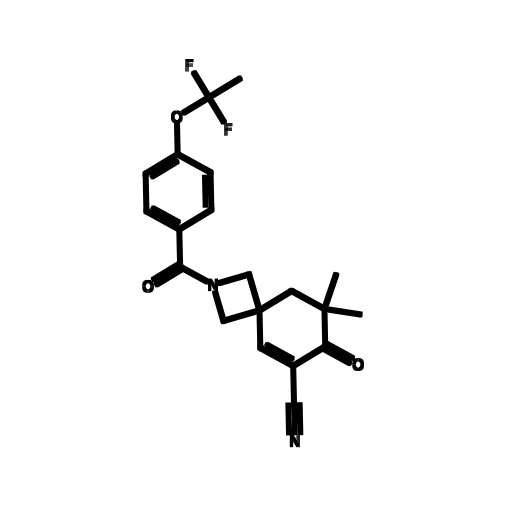 CC(F)(F)Oc1ccc(C(=O)N2CC3(C=C(C#N)C(=O)C(C)(C)C3)C2)cc1